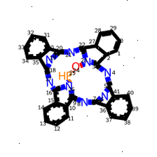 C1=CC2c3nc4nc(nc5c6ccccc6c6nc7nc(nc(n3o[pH]n56)C2C=C1)-c1ccccc1-7)-c1ccccc1-4